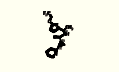 C[C@@H](NC(=O)[C@@H]1C[C@H]1c1ccccn1)c1ccc(OCC(F)(F)F)s1